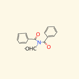 O=[C]N(C(=O)c1ccccc1)C(=O)c1ccccc1